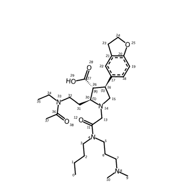 CCCCN(CCCN(C)C)C(=O)CN1C[C@H](c2ccc3c(c2)CCO3)[C@@H](C(=O)O)[C@@H]1CCN(CC)C(C)=O